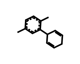 Cc1ccc(C)c(C2C=CCC=C2)c1